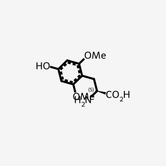 COc1cc(O)cc(OC)c1C[C@H](N)C(=O)O